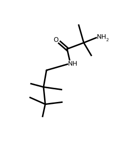 CC(C)(N)C(=O)NCC(C)(C)C(C)(C)C